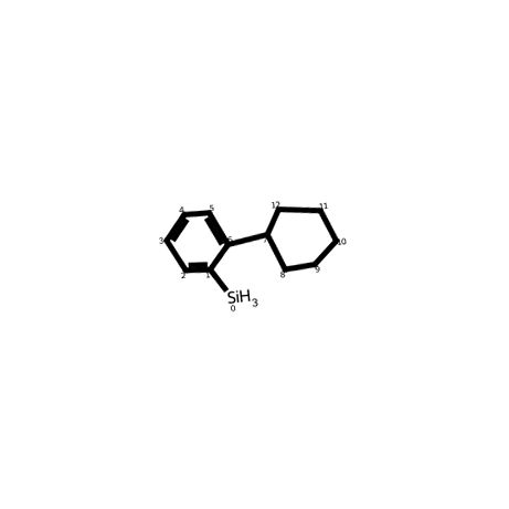 [SiH3]c1ccccc1C1CCCCC1